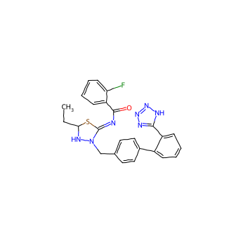 CCC1NN(Cc2ccc(-c3ccccc3-c3nnn[nH]3)cc2)C(=NC(=O)c2ccccc2F)S1